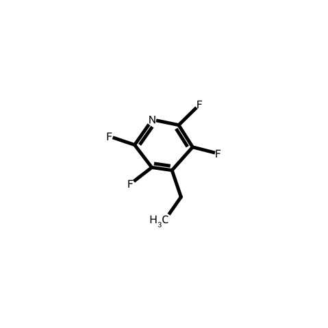 CCc1c(F)c(F)nc(F)c1F